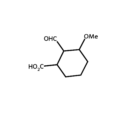 COC1CCCC(C(=O)O)C1C=O